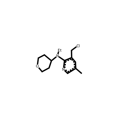 CCN(c1ncc(C)cc1CCl)C1CCOCC1